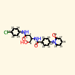 O=C(CC(CO)NC(=O)c1ccc(-n2ccccc2=O)cc1)Nc1ccc(Cl)cc1